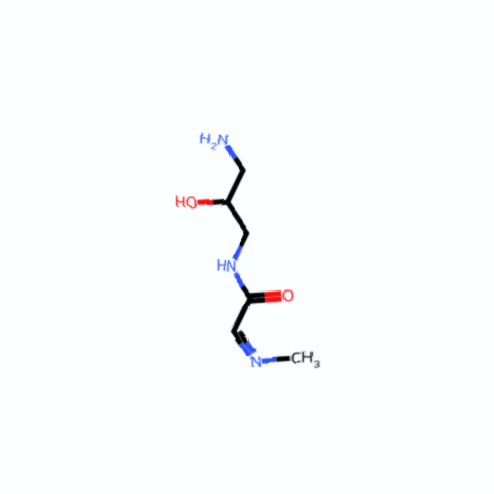 C/N=C\C(=O)NCC(O)CN